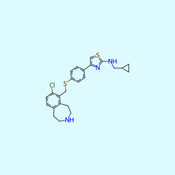 Clc1ccc2c(c1CSc1ccc(-c3csc(NCC4CC4)n3)cc1)CCNCC2